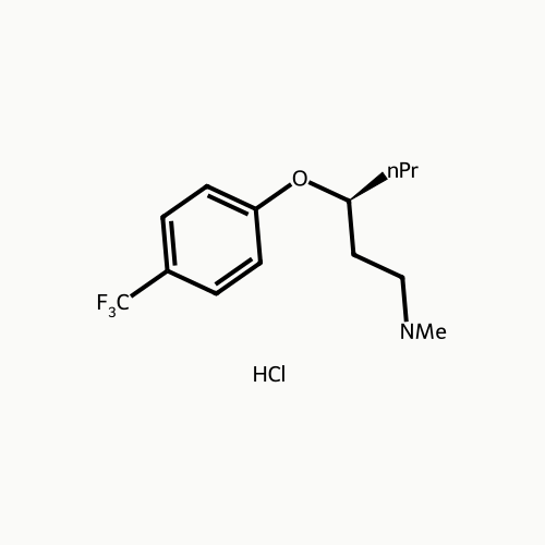 CCC[C@@H](CCNC)Oc1ccc(C(F)(F)F)cc1.Cl